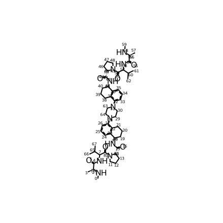 CN[C@@H](C)C(=O)NC(C(=O)N1CCC[C@H]1C(=O)N[C@@H]1CCCc2c1cccc2N1CCN(c2cccc3c2CCC[C@H]3NC(=O)[C@@H]2CCCN2C(=O)C(NC(=O)[C@H](C)NC)C(C)C)CC1)C(C)C